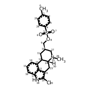 Cc1ccc(S(=O)(=O)OC[C@@H]2CC3c4cccc5[nH]c(Cl)c(c45)C[C@H]3N(C)C2)cc1